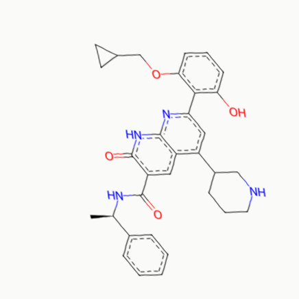 C[C@@H](NC(=O)c1cc2c(C3CCCNC3)cc(-c3c(O)cccc3OCC3CC3)nc2[nH]c1=O)c1ccccc1